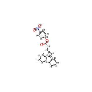 O=C(CC[C@H]1CC1(c1ccccc1)c1ccccc1)Oc1ccc([N+](=O)[O-])cc1